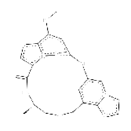 CNc1cc2nn3c(cnc13)C(=O)N[C@H](C)COCc1cc(cn3ccnc13)N2